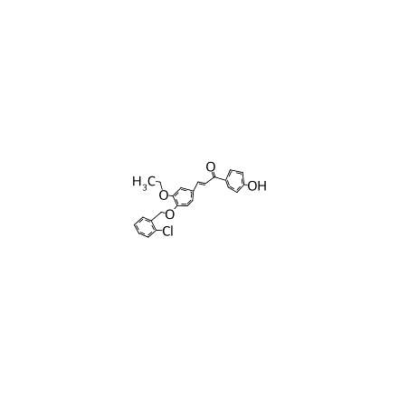 CCOc1cc(C=CC(=O)c2ccc(O)cc2)ccc1OCc1ccccc1Cl